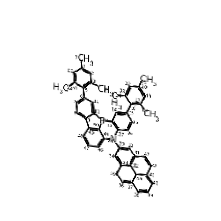 Cc1cc(C)c(-c2ccc3c(c2)B2c4cc(-c5c(C)cc(C)cc5C)ccc4N(c4cc5c6c(c4)CC=C4C=CC=C(C=C5)C46)c4cccc-3c42)c(C)c1